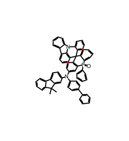 CC1(C)c2ccccc2-c2ccc(N(c3ccc(-c4ccccc4)cc3)c3ccc4c(c3)P(=O)(c3ccccc3)c3ccccc3C43c4ccccc4-n4c5ccccc5c5cccc3c54)cc21